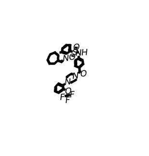 Cc1cccc(S(=O)(=O)Nc2ccc(C(=O)N3CCN(c4ccccc4OC(F)(F)F)CC3)cc2)c1/N=C\C1CCCCCC1